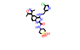 Cc1noc(C)c1-c1ccc2nc(C(=O)NC3CCS(O)(O)CC3)nc(NCc3cncc(Cl)c3)c2c1